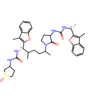 Cc1c([C@@H](NC(=O)NC2CC[S+]([O-])C2)C(C)CCC(C)N2CCC(NC(=O)N[C@H](C)c3oc4ccccc4c3C)C2=O)oc2ccccc12